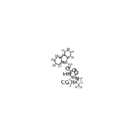 CC1(C)CCN(C(=O)[C@H](CC(=O)O)NC(=O)OCC2c3ccccc3-c3ccccc32)C1